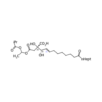 CCCCCCCC(=O)CCCCCC/C=C/[C@H](O)[C@@](O)(CC(=O)OC(C)OC(=O)C(C)C)C(=O)O